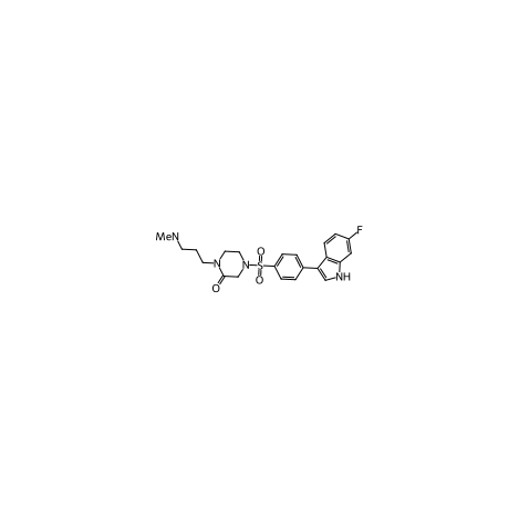 CNCCCN1CCN(S(=O)(=O)c2ccc(-c3c[nH]c4cc(F)ccc34)cc2)CC1=O